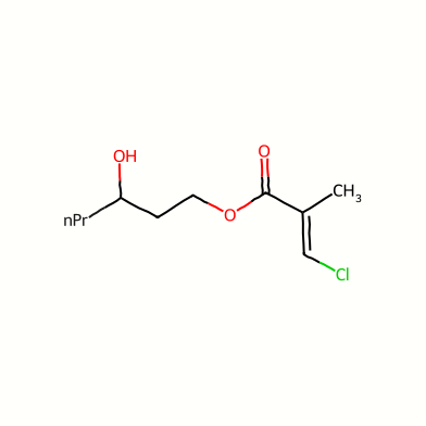 CCCC(O)CCOC(=O)C(C)=CCl